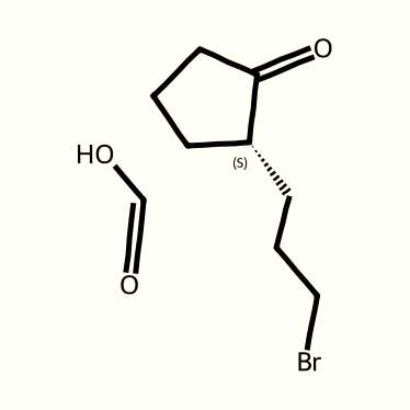 O=C1CCC[C@H]1CCCBr.O=CO